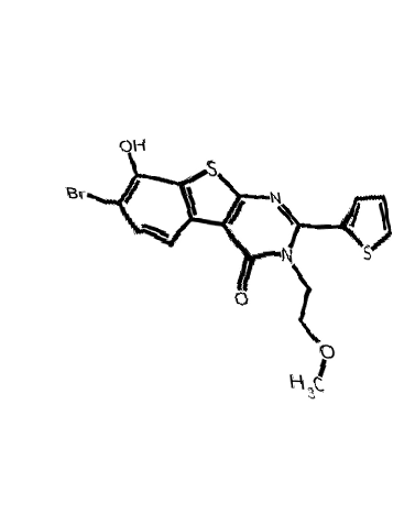 COCCn1c(-c2cccs2)nc2sc3c(O)c(Br)ccc3c2c1=O